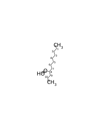 CCCCCCCCC(CCC)OO